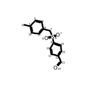 Cc1ccc(CS(=O)(=O)c2ccc(C=O)cc2)cc1